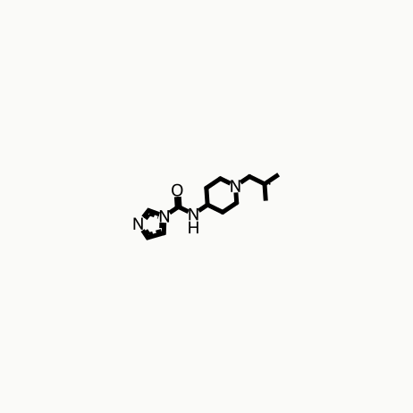 C[C](C)CN1CCC(NC(=O)n2ccnc2)CC1